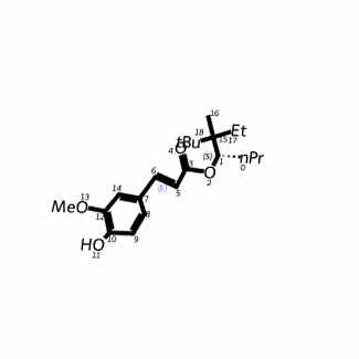 CCC[C@H](OC(=O)/C=C/c1ccc(O)c(OC)c1)C(C)(CC)C(C)(C)C